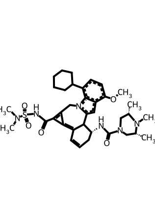 COc1ccc(C2CCCCC2)c2c1cc1n2CC2=C(C(=O)NS(=O)(=O)N(C)C)C2=C2C=CC[C@@H](NC(=O)N3C[C@@H](C)N(C)[C@@H](C)C3)C21